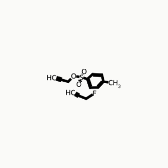 C#CCF.C#CCOS(=O)(=O)c1ccc(C)cc1